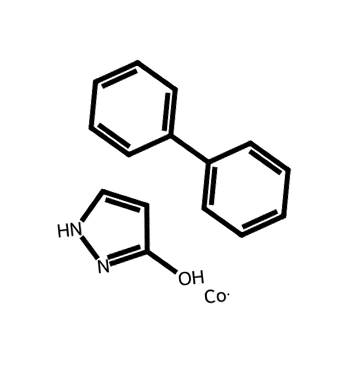 Oc1cc[nH]n1.[Co].c1ccc(-c2ccccc2)cc1